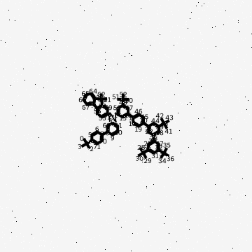 CC(C)(C)c1ccc(-c2cccc(N(c3cc(-c4ccc(-c5cc(-c6cc(C(C)(C)C)cc(C(C)(C)C)c6)cc(C(C)(C)C)c5)cc4)cc(C(C)(C)C)c3)c3ccc4c(c3)C(C)(C)c3ccccc3-4)c2)cc1